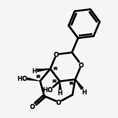 O=C1OC[C@H]2OC(c3ccccc3)O[C@H]([C@H]2O)[C@H]1O